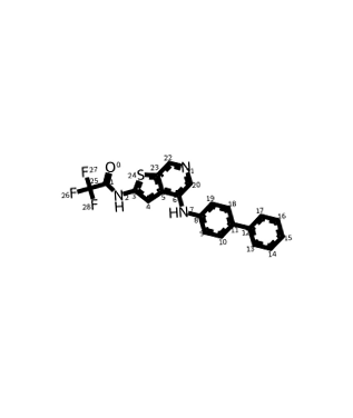 O=C(Nc1cc2c(Nc3ccc(-c4ccccc4)cc3)cncc2s1)C(F)(F)F